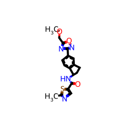 COCc1nc(-c2ccc3c(c2)CCC3NC(=O)c2cnc(C)s2)no1